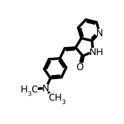 CN(C)c1ccc(C=C2C(=O)Nc3ncccc32)cc1